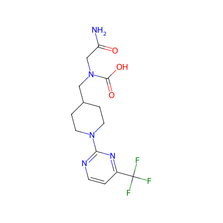 NC(=O)CN(CC1CCN(c2nccc(C(F)(F)F)n2)CC1)C(=O)O